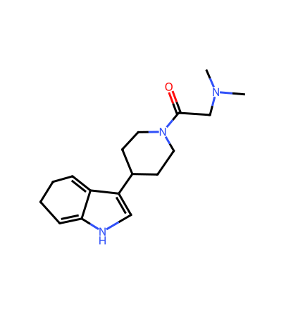 CN(C)CC(=O)N1CCC(c2c[nH]c3c2=CCCC=3)CC1